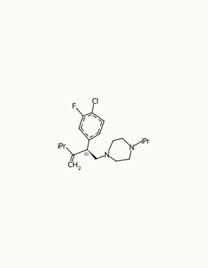 C=C(C(C)C)[C@H](CN1CCN(C(C)C)CC1)c1ccc(Cl)c(F)c1